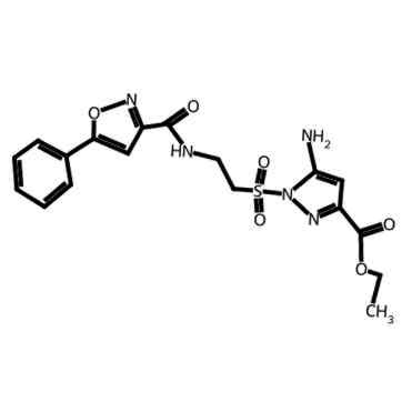 CCOC(=O)c1cc(N)n(S(=O)(=O)CCNC(=O)c2cc(-c3ccccc3)on2)n1